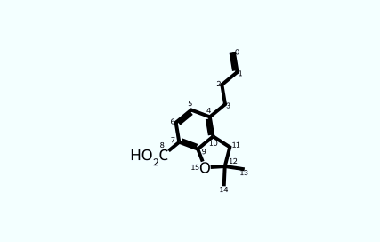 C=CCCc1ccc(C(=O)O)c2c1CC(C)(C)O2